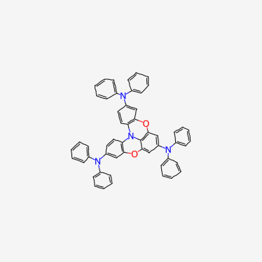 c1ccc(N(c2ccccc2)c2ccc3c(c2)Oc2cc(N(c4ccccc4)c4ccccc4)cc4c2N3c2ccc(N(c3ccccc3)c3ccccc3)cc2O4)cc1